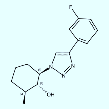 C[C@H]1CCC[C@@H](n2cc(-c3cccc(F)c3)nn2)[C@@H]1O